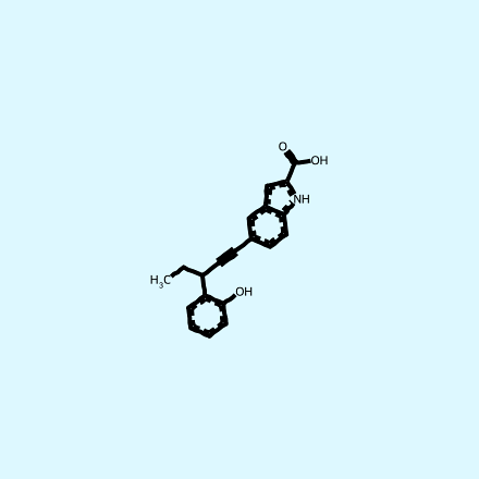 CCC(C#Cc1ccc2[nH]c(C(=O)O)cc2c1)c1ccccc1O